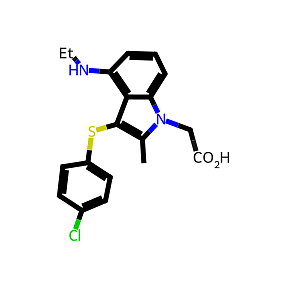 CCNc1cccc2c1c(Sc1ccc(Cl)cc1)c(C)n2CC(=O)O